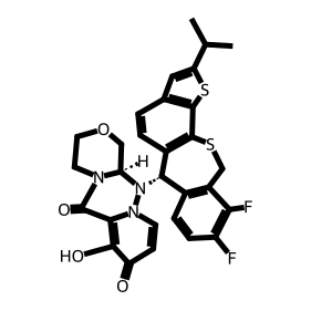 CC(C)c1cc2ccc3c(c2s1)SCc1c(ccc(F)c1F)[C@@H]3N1[C@@H]2COCCN2C(=O)c2c(O)c(=O)ccn21